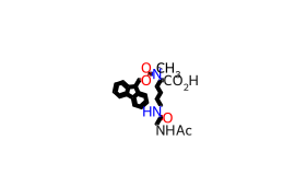 CC(=O)NCC(=O)NCCCCC(C(=O)O)N(C)C(=O)OCC1c2ccccc2-c2ccccc21